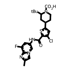 Cc1cn2cc(NC(=O)c3sc(C4CCN(C(=O)O)C(C(C)(C)C)C4)cc3Cl)cc(F)c2n1